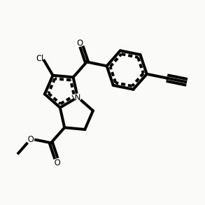 C#Cc1ccc(C(=O)c2c(Cl)cc3n2CCC3C(=O)OC)cc1